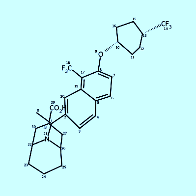 CC(c1ccc2ccc(O[C@H]3CC[C@@H](C(F)(F)F)CC3)c(C(F)(F)F)c2c1)N1C2CCCC1CC(C(=O)O)C2